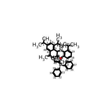 CC(C)c1cc(C(C)C)c(C(Nc2c(C(C)C)cccc2C(C)C)c2nc(P(c3ccccc3)c3ccccc3)cs2)c(C(C)C)c1